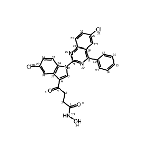 O=C(CCC(=O)c1cn(-c2nc(-c3ccccc3)c3cc(Cl)ccc3n2)c2ccc(Cl)cc12)NO